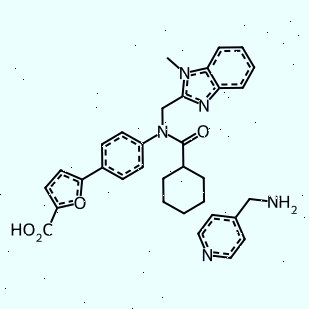 Cn1c(CN(C(=O)C2CCCCC2)c2ccc(-c3ccc(C(=O)O)o3)cc2)nc2ccccc21.NCc1ccncc1